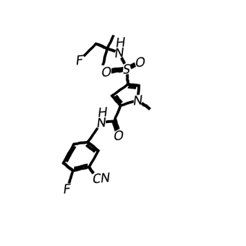 Cn1cc(S(=O)(=O)NC(C)(C)CF)cc1C(=O)Nc1ccc(F)c(C#N)c1